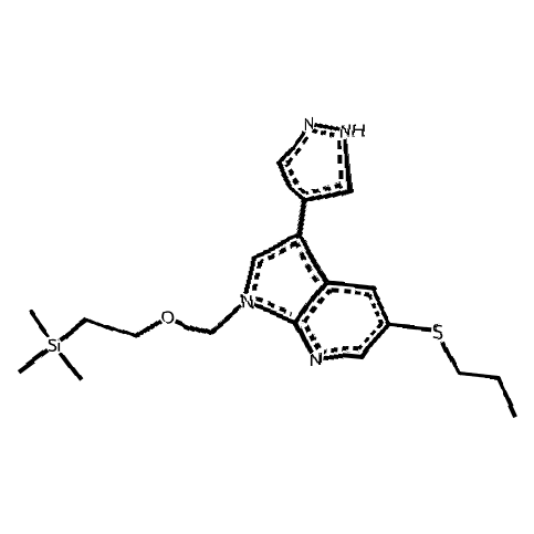 CCCSc1cnc2c(c1)c(-c1cn[nH]c1)cn2COCC[Si](C)(C)C